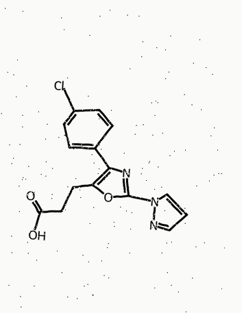 O=C(O)CCc1oc(-n2cccn2)nc1-c1ccc(Cl)cc1